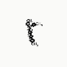 Cc1ccc(-n2c3cc(C)ccc3c3sc4c5cc6sc7c(c6cc5sc4c32)Cc2c-7sc3cc(C)ccc23)cc1